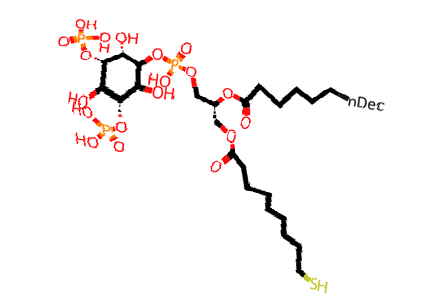 CCCCCCCCCCCCCCCC(=O)O[C@H](COC(=O)CCCCCCCCS)COP(=O)(O)OC1C(O)[C@H](OP(=O)(O)O)C(O)[C@H](OP(=O)(O)O)[C@@H]1O